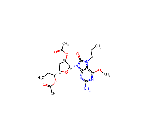 CCCn1c(=O)n([C@@H]2O[C@H](C(CC)OC(C)=O)C[C@H]2OC(C)=O)c2nc(N)nc(OC)c21